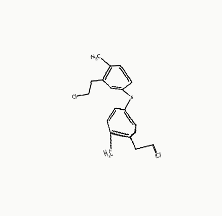 Cc1ccc(Sc2ccc(C)c(CCCl)c2)cc1CCCl